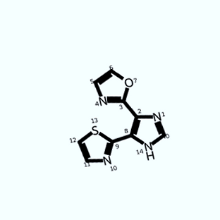 [c]1nc(-c2ncco2)c(-c2nccs2)[nH]1